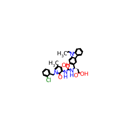 CCn1c2ccccc2c2cc([C@H](CC(=O)O)NC(=O)Nc3c(O)c(C)cn(Cc4ccccc4Cl)c3=O)ccc21